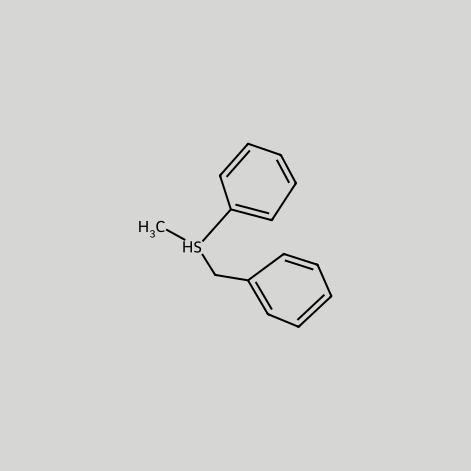 C[SH](Cc1ccccc1)c1ccccc1